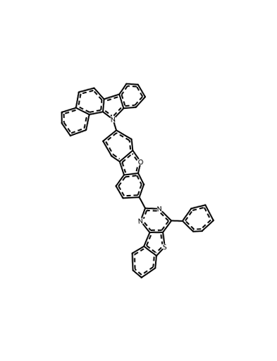 c1ccc(-c2nc(-c3ccc4c(c3)oc3cc(-n5c6ccccc6c6ccc7ccccc7c65)ccc34)nc3c2sc2ccccc23)cc1